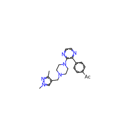 CC(=O)c1ccc(-c2nccnc2N2CCN(Cc3cn(C)nc3C)CC2)cc1